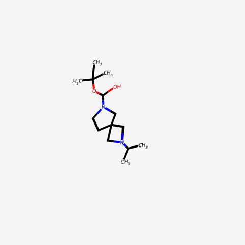 CC(C)N1CC2(CCN(C(O)OC(C)(C)C)C2)C1